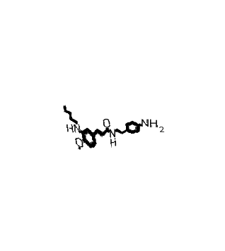 CCCCCNc1cc(C=CC(=O)NCCc2ccc(N)cc2)ccc1OC